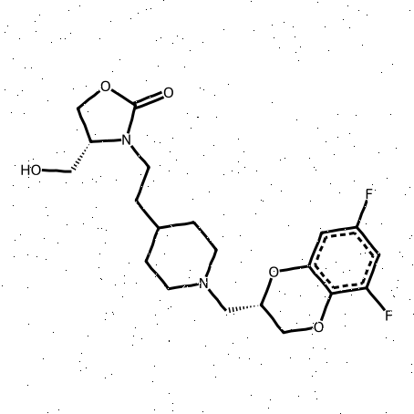 O=C1OC[C@@H](CO)N1CCC1CCN(C[C@H]2COc3c(F)cc(F)cc3O2)CC1